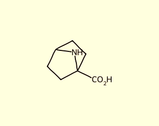 O=C(O)C12CCC(CC1)N2